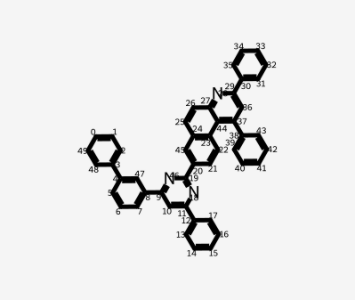 c1ccc(-c2cccc(-c3cc(-c4ccccc4)nc(-c4ccc5c(ccc6nc(-c7ccccc7)cc(-c7ccccc7)c65)c4)n3)c2)cc1